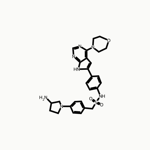 NC1CCN(c2ccc(CS(=O)(=O)Nc3ccc(-c4cc5c(N6CCOCC6)ncnc5[nH]4)cc3)cc2)C1